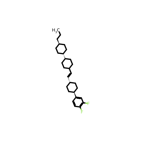 CCC[C@H]1CC[C@H](C2CCC(/C=C/[C@H]3CC[C@H](c4ccc(F)c(F)c4)CC3)CC2)CC1